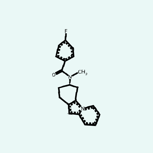 CN(C(=O)c1ccc(F)cc1)[C@@H]1CCc2[c]c3ccccn3c2C1